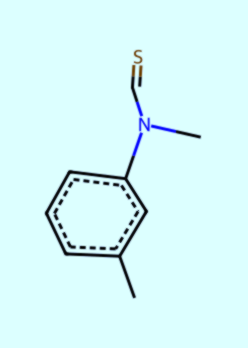 Cc1cccc(N(C)C=S)c1